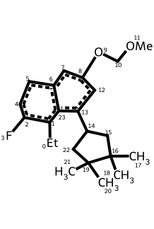 CCc1c(F)ccc2cc(OCOC)cc(C3CC(C)(C)C(C)(C)C3)c12